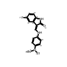 CCCCN(CC)c1ccc(NC=C2C(=O)Nc3ccc(F)cc32)cc1